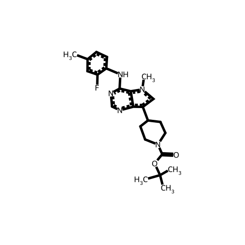 Cc1ccc(Nc2ncnc3c(C4CCN(C(=O)OC(C)(C)C)CC4)cn(C)c23)c(F)c1